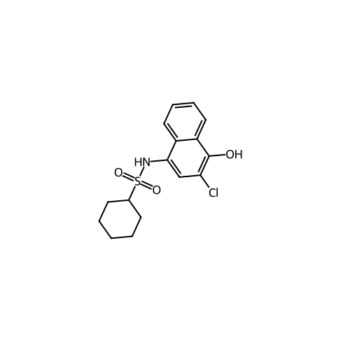 O=S(=O)(Nc1cc(Cl)c(O)c2ccccc12)C1CCCCC1